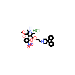 COC(=O)C1=C(C)NC(C)=C(C(=O)OCCCN2CCC(c3ccccc3)(c3ccccc3)CC2)[C@H]1c1cccc([N+](=O)[O-])c1.Cl